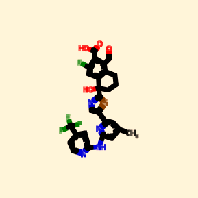 Cc1cc(Nc2cc(C(F)(F)F)ccn2)nc(-c2cnc(C3(O)CCCc4c3cc(F)c(C(=O)O)c4C=O)s2)c1